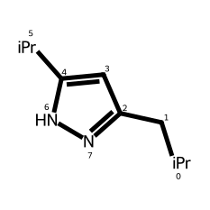 CC(C)Cc1cc(C(C)C)[nH]n1